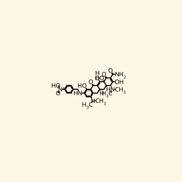 CN(C)c1cc(NCc2ccc([N+](=O)O)cc2)c(O)c2c1C[C@H]1C[C@H]3[C@H](N(C)C)C(O)=C(C(N)=O)C(=O)[C@@]3(O)C(O)=C1C2=O